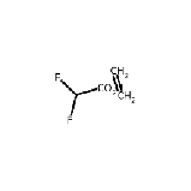 C=C.O=C(O)C(F)F